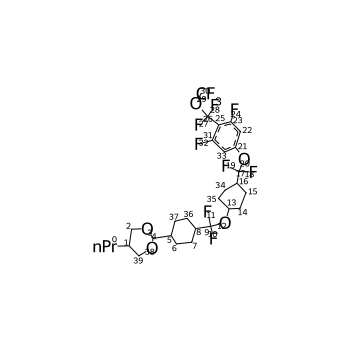 CCCC1COC(C2CCC(C(F)(F)OC3CCC(C(F)(F)Oc4cc(F)c(C(F)(F)OC(F)(F)F)c(F)c4)CC3)CC2)OC1